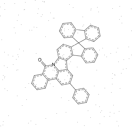 O=c1c2ccccc2c2cc(-c3ccccc3)cc3c4c5c(ccc4n1c23)C1(c2ccccc2-c2ccccc21)c1ccccc1-5